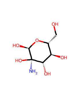 N[C@]1(O)[C@@H](O)O[C@H](CO)[C@@H](O)[C@@H]1O